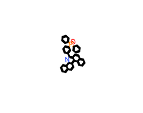 O=P(c1ccccc1)(c1ccccc1)c1cccc(-c2nc3c4ccccc4ccc3c3c2ccc2ccccc23)c1